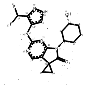 O=C1N([C@@H]2CCC[C@@H](O)C2)c2nc(Nc3c[nH]nc3C(F)F)ncc2C12CC2